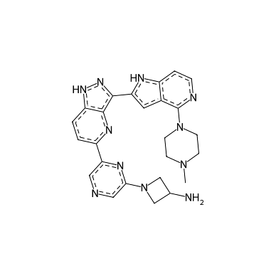 CN1CCN(c2nccc3[nH]c(-c4n[nH]c5ccc(-c6cncc(N7CC(N)C7)n6)nc45)cc23)CC1